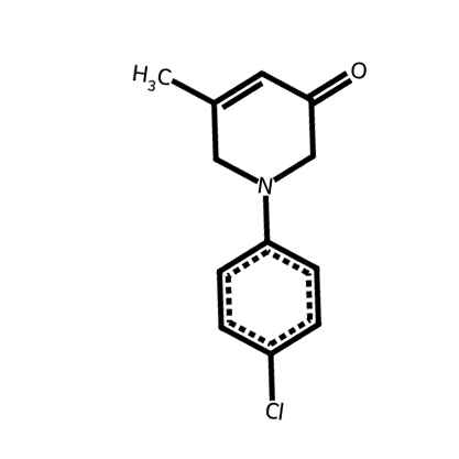 CC1=CC(=O)CN(c2ccc(Cl)cc2)C1